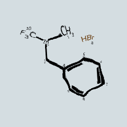 Br.[CH3][Zn]([CH2]c1ccccc1)[C](F)(F)F